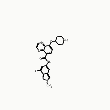 Cn1cc2cc(NC(=O)c3ccc(OC4CCNCC4)c4nccnc34)cc(F)c2n1